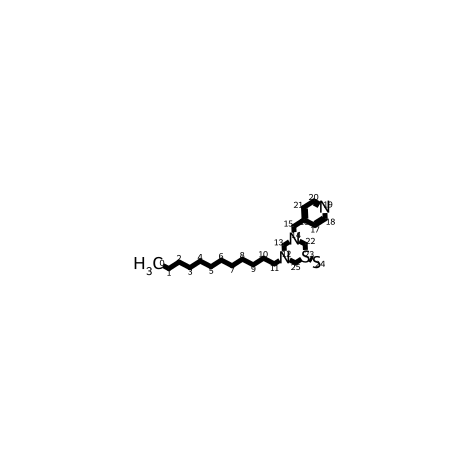 CCCCCCCCCCCCN1CN(Cc2ccncc2)CS(=S)C1